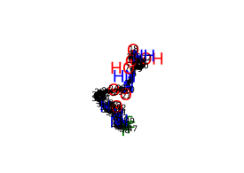 CN(CCNC[C@H](O)c1ccc(O)c2c1OCC(=O)N2)C(=O)CCOCCc1cccc(CN2CCC3(CC2)CN(c2nccc(C(F)(F)F)n2)CCO3)c1